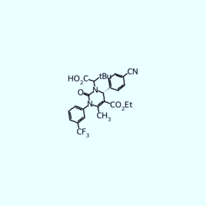 CCOC(=O)C1=C(C)N(c2cccc(C(F)(F)F)c2)C(=O)N(C(C(=O)O)C(C)(C)C)[C@@H]1c1ccc(C#N)cc1